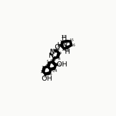 Oc1ccc2cc(-c3ccc(O[C@@H]4C[C@H]5CC[C@@H](C4)N5)nn3)c(O)cc2c1